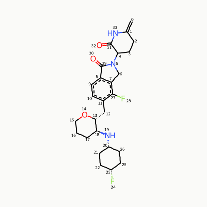 C=C1CCC(N2Cc3c(ccc(C[C@H]4OCCC[C@@H]4N[C@H]4CC[C@@H](F)CC4)c3F)C2=O)C(=O)N1